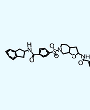 C=CC(=O)NC1CC2CCN(S(=O)(=O)c3ccc(C(=O)NC4Cc5ccccc5C4)cc3)CC2O1